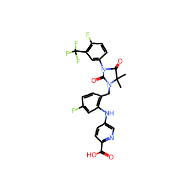 CC1(C)C(=O)N(c2ccc(F)c(C(F)(F)F)c2)C(=O)N1Cc1ccc(F)cc1Nc1ccc(C(=O)O)nc1